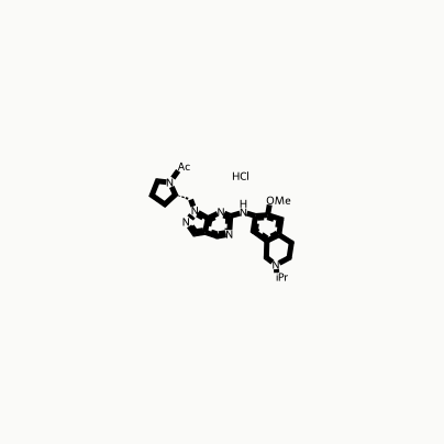 COc1cc2c(cc1Nc1ncc3cnn(C[C@@H]4CCCN4C(C)=O)c3n1)CN(C(C)C)CC2.Cl